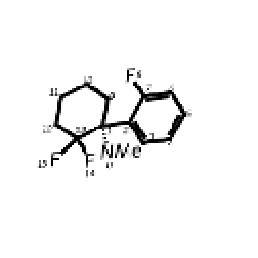 CN[C@@]1(c2ccccc2F)CCCCC1(F)F